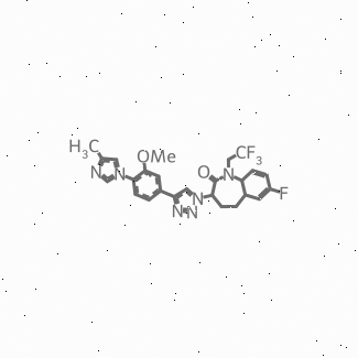 COc1cc(-c2cn(C3CCC4C=C(F)C=CC4N(CC(F)(F)F)C3=O)nn2)ccc1-n1cnc(C)c1